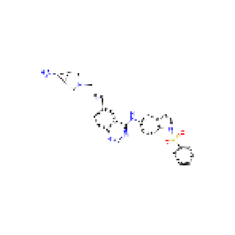 NC1C2CN(C/C=C/c3ccc4ncnc(Nc5ccc6c(ccn6S(=O)(=O)c6ccccc6)c5)c4c3)CC12